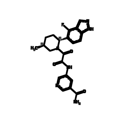 C[C@H]1CC[C@H](c2ccc3[nH]ncc3c2F)N(C(=O)C(=O)Nc2cncc(C(N)=O)c2)C1